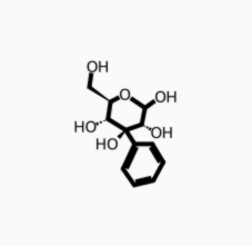 OC[C@H]1OC(O)[C@H](O)[C@](O)(c2ccccc2)[C@@H]1O